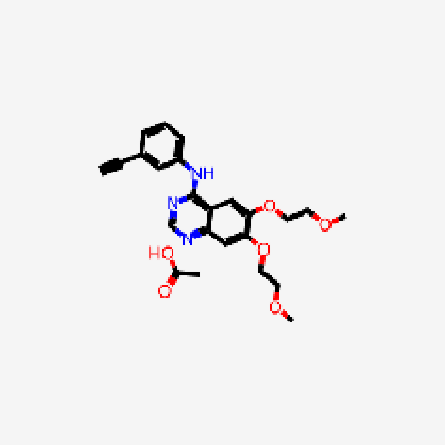 C#Cc1cccc(Nc2ncnc3cc(OCCOC)c(OCCOC)cc23)c1.CC(=O)O